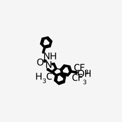 C[C@]1(c2ccccc2)CN(C(=O)NCc2ccccc2)C[C@H]1c1ccc(C(O)(C(F)(F)F)C(F)(F)F)cc1